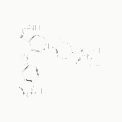 CN(C)S(=O)(=O)C1CC=C(N2C=C(Nc3ccc4[nH]ncc4c3)c3cc[nH]c3C2)CC1